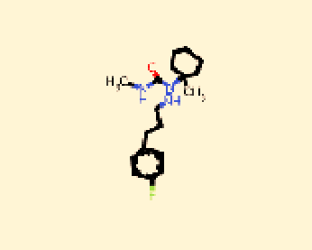 CNC(=O)N(NCCCc1ccc(F)cc1)C1(C)CCCCC1